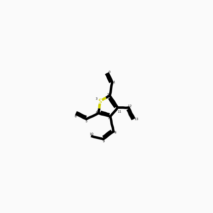 C=Cc1sc(C=C)c(/C=C\C)c1C=C